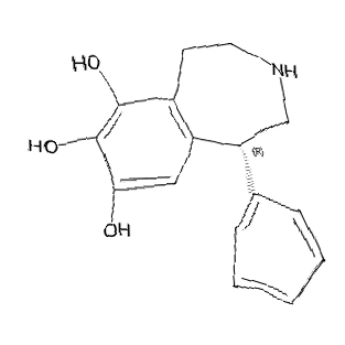 Oc1cc2c(c(O)c1O)CCNC[C@@H]2c1ccccc1